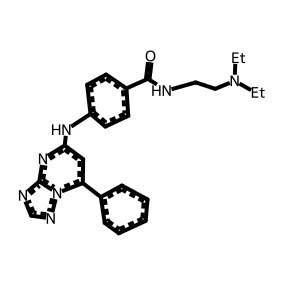 CCN(CC)CCNC(=O)c1ccc(Nc2cc(-c3ccccc3)n3ncnc3n2)cc1